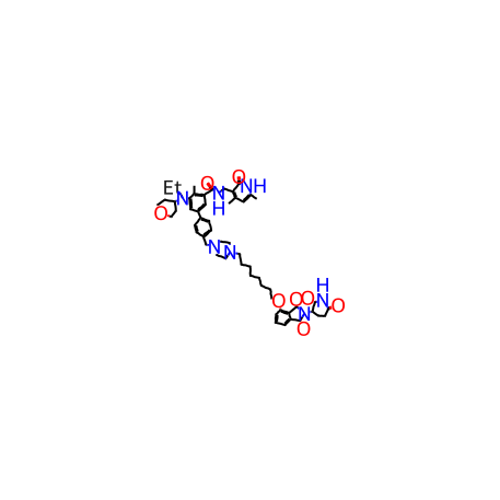 CCN(c1cc(-c2ccc(CN3CCN(CCCCCCCCOc4cccc5c4C(=O)N(C4CCC(=O)NC4=O)C5=O)CC3)cc2)cc(C(=O)NCc2c(C)cc(C)[nH]c2=O)c1C)C1CCOCC1